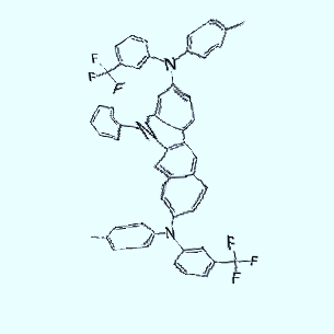 Cc1ccc(N(c2cccc(C(F)(F)F)c2)c2ccc3cc4c5ccc(N(c6ccc(C)cc6)c6cccc(C(F)(F)F)c6)cc5n(-c5ccccc5)c4cc3c2)cc1